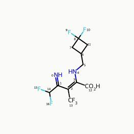 N=C(/C(=C(\NCC1CC(F)(F)C1)C(=O)O)C(F)(F)F)C(F)F